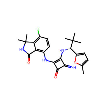 Cc1ccc([C@H](Nc2c(Nc3ccc(Cl)c4c3C(=O)NC4(C)C)c(=O)c2=N)C(C)(C)C)o1